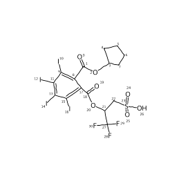 O=C(OC1CCCC1)c1c(I)c(I)c(I)c(I)c1C(=O)OC(CS(=O)(=O)O)C(F)(F)F